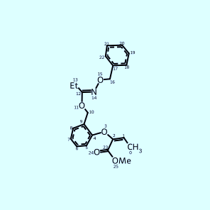 CC=C(Oc1ccccc1COC(CC)=NOCc1ccccc1)C(=O)OC